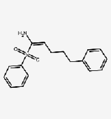 NC(=CCCCc1ccccc1)S(=O)(=O)c1ccccc1